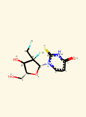 O=c1ccn([C@@H]2O[C@H](CO)C(O)[C@]2(F)CF)c(=S)[nH]1